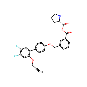 C#CCOc1cc(F)c(F)cc1-c1ccc(OCc2cccc(C(=O)OC(=O)[C@@H]3CCCN3)c2)cc1